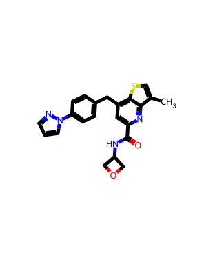 Cc1csc2c(Cc3ccc(-n4cccn4)cc3)cc(C(=O)NC3COC3)nc12